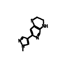 Cn1cc(-c2cc3c(cn2)NCCS3)cn1